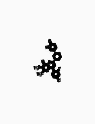 Cc1nc2c(-c3ccc(Cl)cc3F)cc([C@H]3CCO[C@@H](c4ccc(=O)[nH]c4)C3)nn2c(=O)c1C